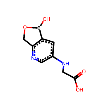 O=C(O)CNc1cnc2c(c1)B(O)OC2